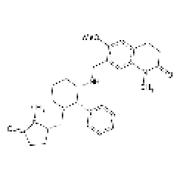 COc1cc2c(cc1CN[C@H]1CCCN(C[C@@H]3CCC(=O)N3C)[C@H]1c1ccccc1)N(C)C(=O)CC2